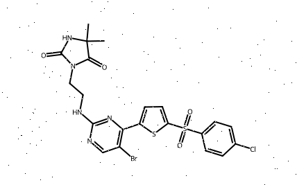 CC1(C)NC(=O)N(CCNc2ncc(Br)c(-c3ccc(S(=O)(=O)c4ccc(Cl)cc4)s3)n2)C1=O